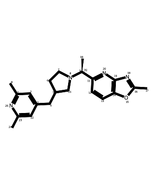 Cc1cc(CC2CCN([C@@H](C)c3ccc4oc(C)nc4n3)C2)cc(C)n1